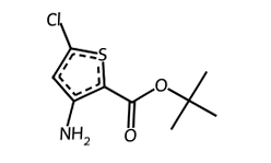 CC(C)(C)OC(=O)c1sc(Cl)cc1N